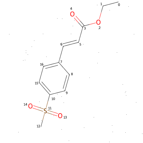 CCOC(=O)/C=C/c1ccc(S(C)(=O)=O)cc1